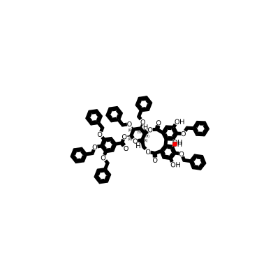 O=C(O[C@H]1O[C@@H]2COC(=O)c3cc(O)c(OCc4ccccc4)c(O)c3-c3c(cc(O)c(OCc4ccccc4)c3O)C(=O)O[C@H]2[C@H](OCc2ccccc2)[C@H]1OCc1ccccc1)c1cc(OCc2ccccc2)c(OCc2ccccc2)c(OCc2ccccc2)c1